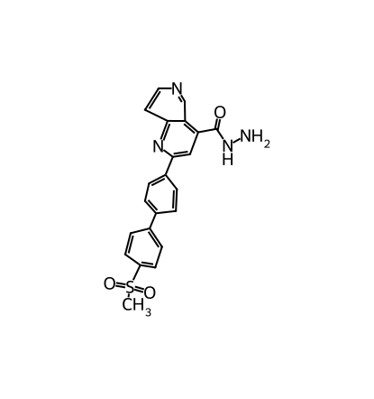 CS(=O)(=O)c1ccc(-c2ccc(-c3cc(C(=O)NN)c4cnccc4n3)cc2)cc1